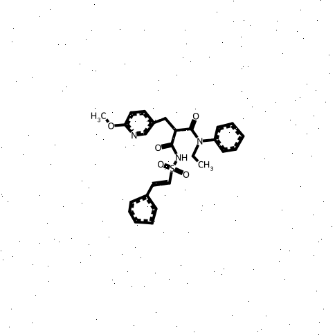 CCN(C(=O)C(Cc1ccc(OC)nc1)C(=O)NS(=O)(=O)C=Cc1ccccc1)c1ccccc1